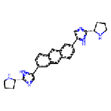 c1cc2cc3cc(-c4cnc([C@@H]5CCCN5)[nH]4)ccc3cc2cc1-c1cnc([C@@H]2CCCN2)[nH]1